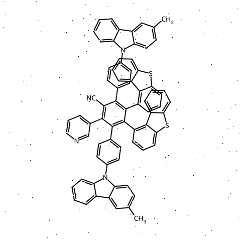 Cc1ccc2c(c1)c1ccccc1n2-c1ccc(-c2c(C#N)c(-c3cccnc3)c(-c3ccc(-n4c5ccccc5c5cc(C)ccc54)cc3)c(-c3cccc4sc5ccccc5c34)c2-c2cccc3sc4ccccc4c23)cc1